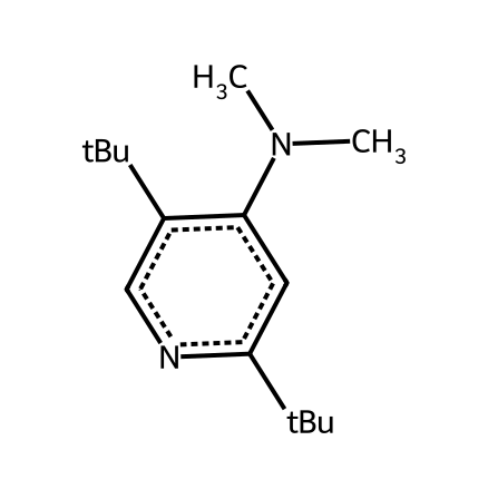 CN(C)c1cc(C(C)(C)C)ncc1C(C)(C)C